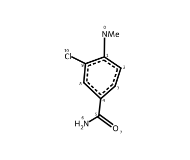 CNc1ccc(C(N)=O)cc1Cl